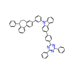 c1ccc(-c2nc(-c3ccccc3)nc(-c3ccc(-c4ccc5c(c4)c4ccccc4n5-c4cccc(-c5ccc6c(c5)CCC(c5ccccc5)c5ccccc5-6)c4)cc3)n2)cc1